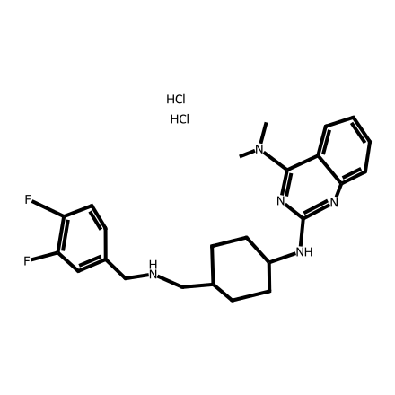 CN(C)c1nc(NC2CCC(CNCc3ccc(F)c(F)c3)CC2)nc2ccccc12.Cl.Cl